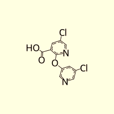 O=C(O)c1cc(Cl)cnc1Oc1cncc(Cl)c1